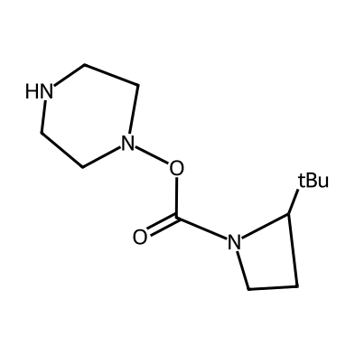 CC(C)(C)C1CCN1C(=O)ON1CCNCC1